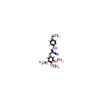 COc1ccc(NC=C(C#N)Cc2cc(OC)c(OC)c(OC)c2)cc1